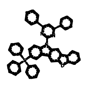 c1ccc(-c2cc(-c3ccccc3)nc(-n3c4ccc([Si](c5ccccc5)(c5ccccc5)c5ccccc5)cc4c4cc5oc6ccccc6c5cc43)n2)cc1